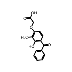 Cc1c(OCC(=O)O)ccc(C(=O)c2ccccc2)c1O